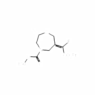 CCOC(=O)C(F)=C1CO[C@@H](C)CN(C(=O)OC(C)(C)C)C1